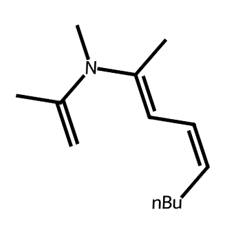 C=C(C)N(C)/C(C)=C/C=C\CCCC